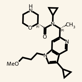 COCCCn1cc(C2CC2)c2cnc([C@@H](C)N(C(=O)[C@H]3CNCCO3)C3CC3)cc21